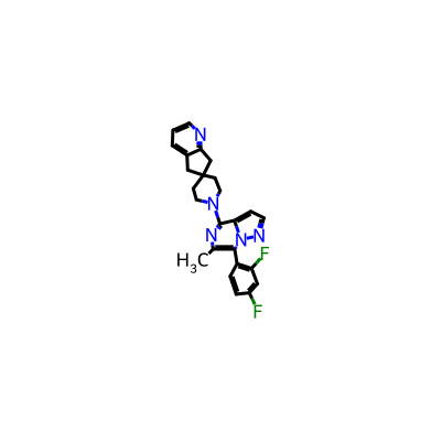 Cc1nc(N2CCC3(CC2)Cc2cccnc2C3)c2ccnn2c1-c1ccc(F)cc1F